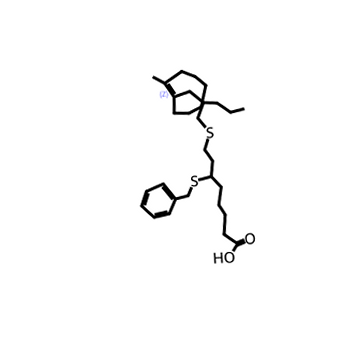 CCCC(CSCCC(CCCCC(=O)O)SCc1ccccc1)C/C1=C(/C)CCCCCC1